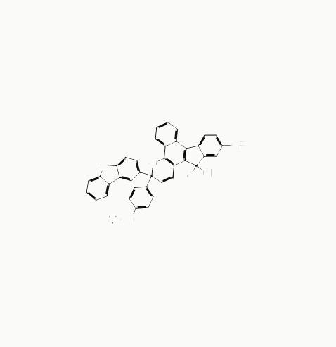 COc1ccc(C2(c3ccc4oc5ccccc5c4c3)C=Cc3c4c(c5ccccc5c3O2)-c2ccc(C(F)(F)F)cc2C4(C)C)cc1